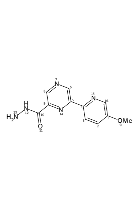 COc1ccc(-c2cncc(C(=O)NN)n2)nc1